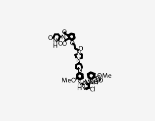 COc1cc(N2CCC(N3CCN(C(=O)CCOc4cccc5c4C(=O)N(C4CCC(=O)NC4=O)C5=O)CC3)CC2)ccc1Nc1ncc(Cl)c(Nc2ccccc2P(=O)(OC)OC)n1